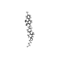 CCCCCOc1ccc(C2=CCC(CCc3ccc(-c4ccc(C)cc4)c(F)c3F)CC2)c(F)c1